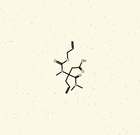 C=CCOC(=O)N(C)C(CC=C)(CC(=O)O)C(=O)N(C)C